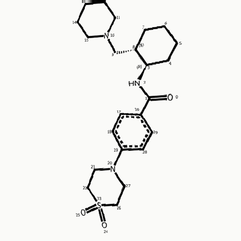 O=C(N[C@@H]1CCCC[C@H]1CN1CCCCC1)c1ccc(N2CCS(=O)(=O)CC2)cc1